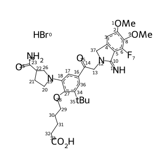 Br.COc1cc2c(c(F)c1OC)C(=N)N(CC(=O)c1cc(N3CCC(C(N)=O)C3)c(OCCCCC(=O)O)c(C(C)(C)C)c1)C2